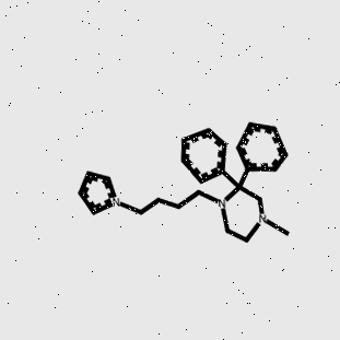 CN1CCN(CCCCn2cccc2)C(c2ccccc2)(c2ccccc2)C1